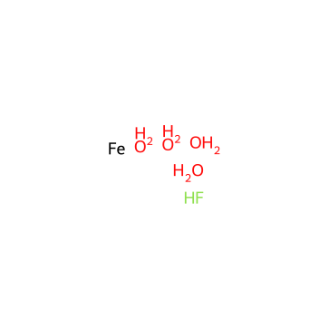 F.O.O.O.O.[Fe]